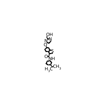 CC(C)c1cccc(NC(=O)c2csc3cc(Oc4ccnc(CO)n4)ccc23)c1